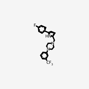 Fc1ccc(-c2ccc(CN3CCN(c4cccc(C(F)(F)F)c4)CC3)[nH]2)cc1